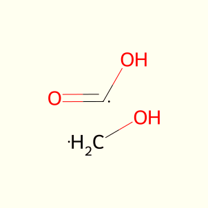 O=[C]O.[CH2]O